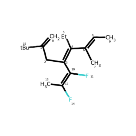 C=C(CC(=C(\CC)C(C)=CC)/C(F)=C(\C)F)C(C)(C)C